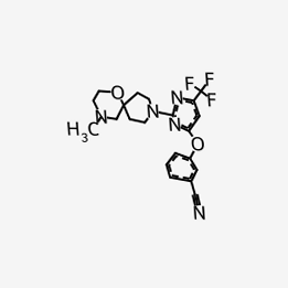 CN1CCOC2(CCN(c3nc(Oc4cccc(C#N)c4)cc(C(F)(F)F)n3)CC2)C1